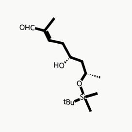 C/C(C=O)=C\C[C@@H](O)C[C@H](C)O[Si](C)(C)C(C)(C)C